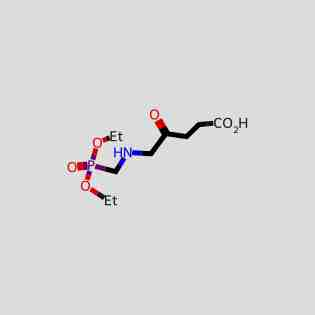 CCOP(=O)(CNCC(=O)CCC(=O)O)OCC